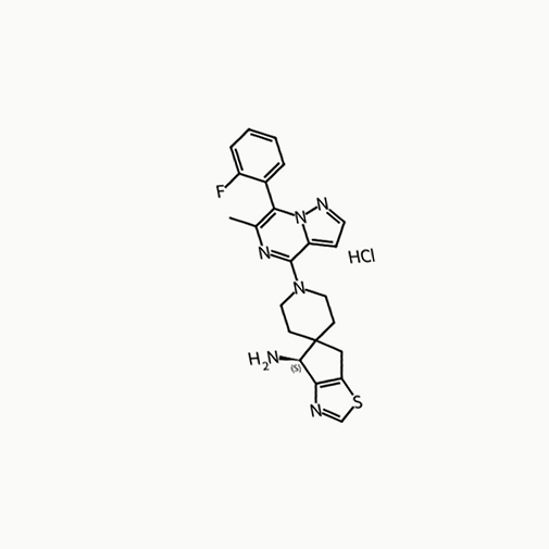 Cc1nc(N2CCC3(CC2)Cc2scnc2[C@H]3N)c2ccnn2c1-c1ccccc1F.Cl